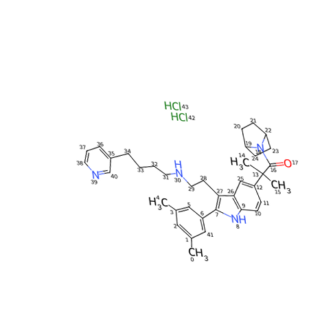 Cc1cc(C)cc(-c2[nH]c3ccc(C(C)(C)C(=O)N4C5CCC4CC5)cc3c2CCNCCCCc2cccnc2)c1.Cl.Cl